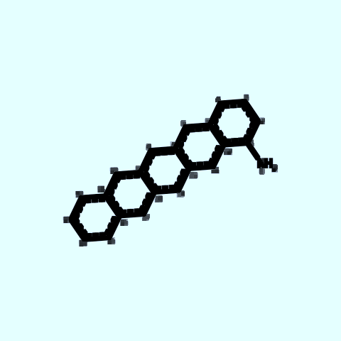 Nc1cccc2cc3cc4cc5ccccc5cc4cc3cc12